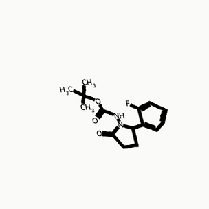 CC(C)(C)OC(=O)NN1C(=O)CCC1c1ccccc1F